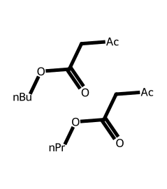 CCCCOC(=O)CC(C)=O.CCCOC(=O)CC(C)=O